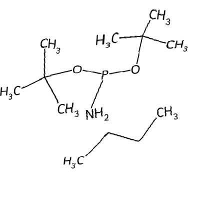 CC(C)(C)OP(N)OC(C)(C)C.CCCC